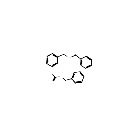 NC(=O)OCc1ccccc1.c1ccc(COCc2ccccc2)cc1